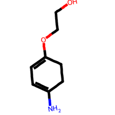 NC1=CC=C(OCCO)CC1